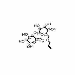 C=CCOC[C@H]1O[C@@H](O[C@H]2[C@H](O)[C@@H](O)[C@@H](O)O[C@@H]2CO)[C@H](O)[C@@H](O)[C@H]1O